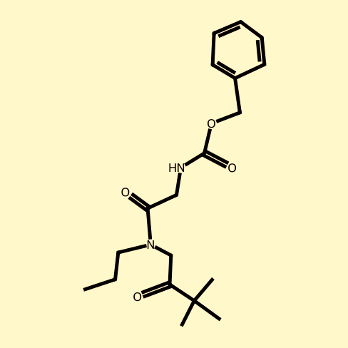 CCCN(CC(=O)C(C)(C)C)C(=O)CNC(=O)OCc1ccccc1